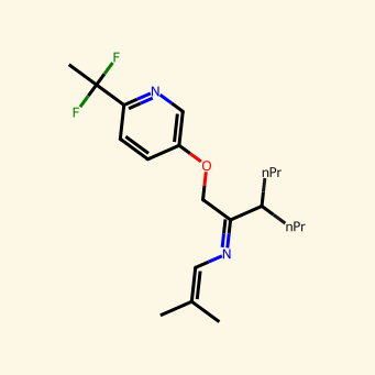 CCCC(CCC)/C(COc1ccc(C(C)(F)F)nc1)=N/C=C(C)C